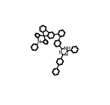 c1ccc(C2=NC(c3ccc(-c4ccccc4)cc3)=NC(c3cccc(-c4ccccc4-c4ccc5c(c4)-c4ccccc4C54c5ccccc5N(c5ccccc5)c5ccccc54)c3)N2)cc1